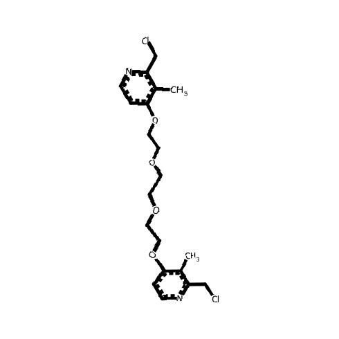 Cc1c(OCCOCCOCCOc2ccnc(CCl)c2C)ccnc1CCl